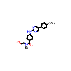 CCN(CCO)C(=O)c1ccc(Nc2ncc(-c3ccc(OC)cc3)cn2)cc1